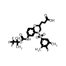 Cc1cc(S(=O)(=O)N2CC(CCC(=O)O)Oc3ccc(NC(=O)OC(C)(C)C(F)(F)F)cc32)cc(C)c1F